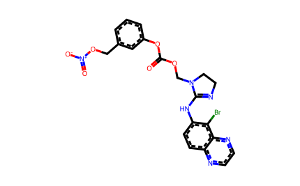 O=C(OCN1CCN=C1Nc1ccc2nccnc2c1Br)Oc1cccc(CO[N+](=O)[O-])c1